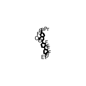 CCCOc1ccc2cc(-c3ccc(-c4ccc(OCC)c(F)c4F)c(F)c3F)oc(=O)c2c1F